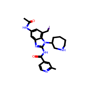 CC(=O)Nc1cc(CI)c2c(c1)nc(NC(=O)c1ccnc(C)c1)n2C1CCCCNC1